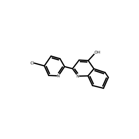 Oc1cc(-c2ccc(Cl)cn2)nc2ccccc12